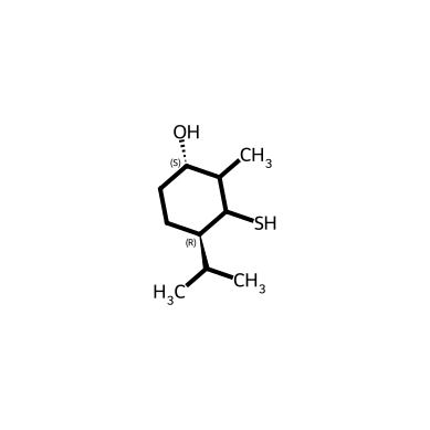 CC(C)[C@H]1CC[C@H](O)C(C)C1S